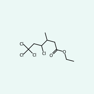 CCOC(=O)CC(C)C(Cl)CC(Cl)(Cl)Cl